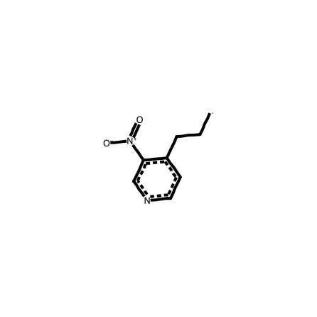 [CH2]CCc1ccncc1[N+](=O)[O-]